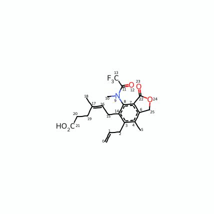 C=CCc1c(C)c2c(c(N(C)C(=O)C(F)(F)F)c1CC=C(C)CCC(=O)O)C(=O)OC2